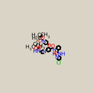 CC(C)(C)OC(=O)N[C@H]1CCN(c2ccc(C(=O)Nc3ccccc3C(=O)Nc3ccc(Cl)cn3)c(OC3CCN(C(=O)OC(C)(C)C)CC3)c2)C1